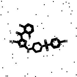 Nc1nc(NC2CCN(S(=O)(=O)c3ccc(S)nc3)CC2)sc1C(=O)c1c(F)cccc1F